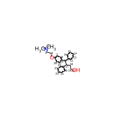 CN(C)CCOc1ccc(C(c2ccccc2)C(CCO)c2ccccc2)cc1